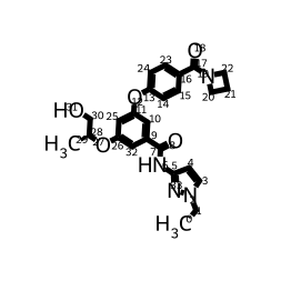 CCn1ccc(NC(=O)c2cc(Oc3ccc(C(=O)N4CCC4)cc3)cc(O[C@@H](C)CO)c2)n1